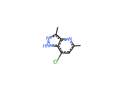 Cc1cc(Cl)c2[nH]nc(C)c2n1